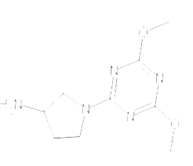 COc1nc(OC)nc(N2CCC(N)C2)n1